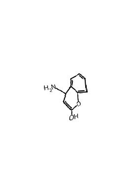 NC1C=C(O)Oc2ccccc21